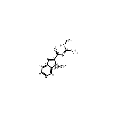 CCCNC(N)=NC(=O)c1cc2ccccc2[nH]1.Cl